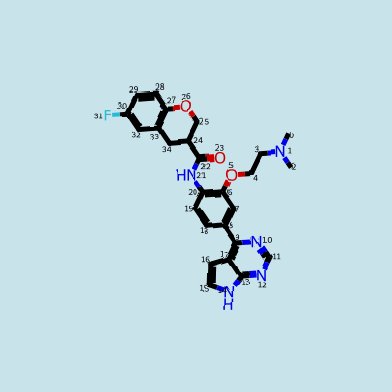 CN(C)CCOc1cc(-c2ncnc3[nH]ccc23)ccc1NC(=O)C1COc2ccc(F)cc2C1